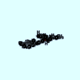 COc1cc(CN2CCC(N3CCN(C4CC5(CCN(c6ccc(C(=O)NS(=O)(=O)c7ccc(NC[C@H]8CC[C@](C)(O)CC8)c([N+](=O)[O-])c7)c(N7c8cc9cc[nH]c9nc8O[C@H]8COCC[C@@H]87)c6)CC5)C4)[C@H](c4ccccc4OC(C)(C)C)C3)CC2)cnc1N1CCOCC1